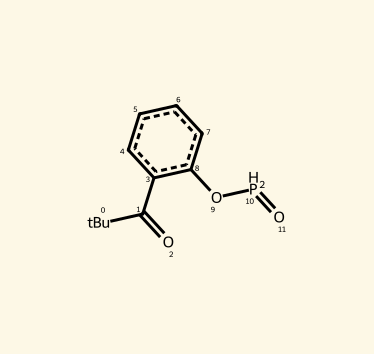 CC(C)(C)C(=O)c1ccccc1O[PH2]=O